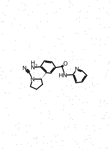 N#CN1CCC[C@H]1c1cc(C(=O)Nc2ccccn2)ccc1N